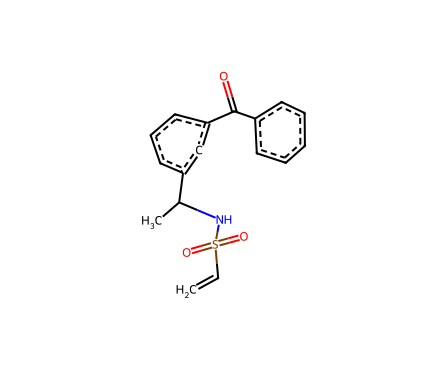 C=CS(=O)(=O)NC(C)c1cccc(C(=O)c2ccccc2)c1